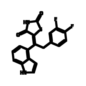 O=C1NC(=O)C(=C(Cc2ccc(F)c(F)c2)c2cccc3[nH]ccc23)S1